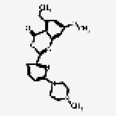 CCc1cc(OC)cc2nc(-c3cccc(N4CCN(C)CC4)n3)oc(=O)c12